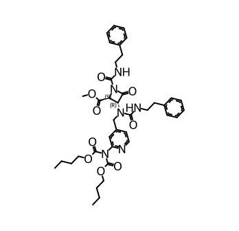 CCCCOC(=O)N(C(=O)OCCCC)c1cc(CN(C(=O)NCCc2ccccc2)[C@H]2C(=O)N(C(=O)NCCc3ccccc3)[C@@H]2C(=O)OC)ccn1